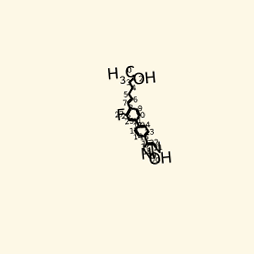 CC(O)CCCC=Cc1ccc(-c2ccc(-c3cnc(O)nc3)cc2)cc1F